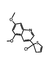 COc1cc(OC)c2cc(C3(Cl)CC=CS3)cnc2c1